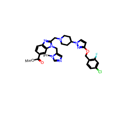 COC(=O)c1ccc2nc(CN3CCC(n4ccc(OCc5ccc(Cl)cc5F)n4)CC3)n(Cc3cncn3C(C)C)c2c1